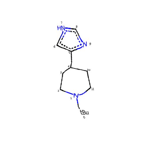 CC(C)(C)N1CCC(c2c[nH]cn2)CC1